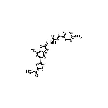 CC(=O)c1ccc(-c2cc(Cl)c3oc(CNC(=O)/C=C/c4ccc(N)nc4)cc3c2)s1